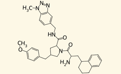 COc1ccc(CC2CC(C(=O)NCc3ccc4c(c3)nnn4C)N(C(=O)C(N)CC3CCCc4ccccc43)C2)cc1